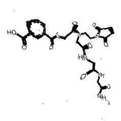 NC(=O)CNC(=O)CNC(=O)CN(CCN1C(=O)C=CC1=O)C(=O)CSC(=O)c1cccc(C(=O)O)c1